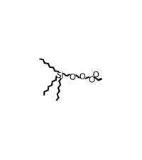 C=CC(=O)OCCOCCOCCC[Si](CCCCCCCC)(CCCCCCCC)CCCCCCCC